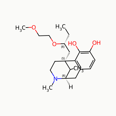 CC[C@H](C[C@]12CCN(C)[C@H](Cc3ccc(O)c(O)c31)C2C)OCCOC